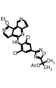 CCOc1nccc2c(Nc3c(Cl)cc(-c4noc(C(C)(C)OC(C)=O)n4)cc3Cl)nc3ccncc3c12